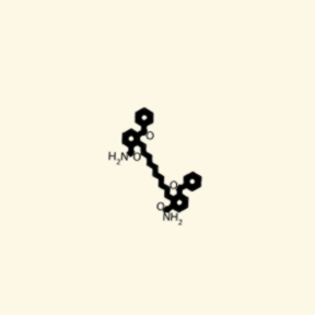 NC(=O)c1cccc(C(=O)c2ccccc2)c1CCCCCCCCCCc1c(C(N)=O)cccc1C(=O)c1ccccc1